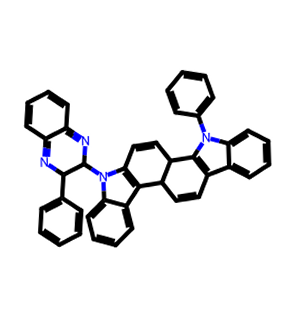 C1=CC2c3c(n(C4N=c5ccccc5=NC4c4ccccc4)c4ccccc34)C=CC2c2c1c1ccccc1n2-c1ccccc1